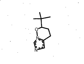 CC(C)(C)C1CCc2cncn2O1